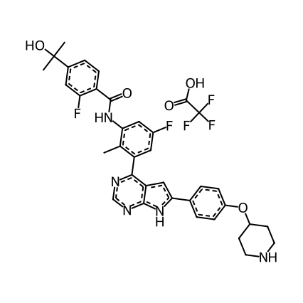 Cc1c(NC(=O)c2ccc(C(C)(C)O)cc2F)cc(F)cc1-c1ncnc2[nH]c(-c3ccc(OC4CCNCC4)cc3)cc12.O=C(O)C(F)(F)F